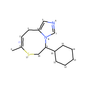 C/C1=C/Cc2cncn2C(C2CCCCC2)CS1